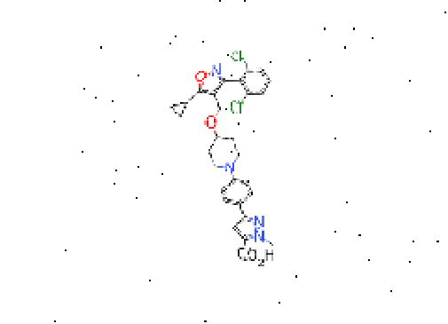 Cn1nc(-c2ccc(N3CCC(OCc4c(-c5c(Cl)cccc5Cl)noc4C4CC4)CC3)cc2)cc1C(=O)O